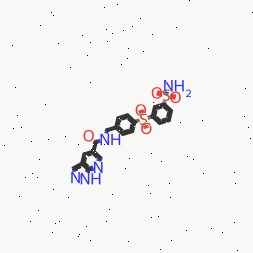 NS(=O)(=O)c1cccc(S(=O)(=O)c2ccc(CNC(=O)c3cnc4[nH]ncc4c3)cc2)c1